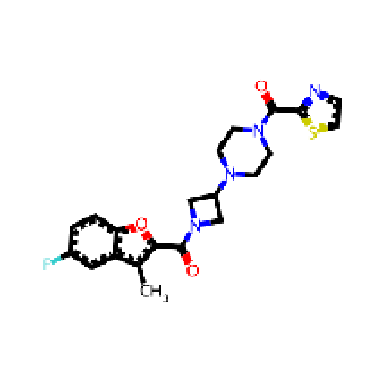 Cc1c(C(=O)N2CC(N3CCN(C(=O)c4nccs4)CC3)C2)oc2ccc(F)cc12